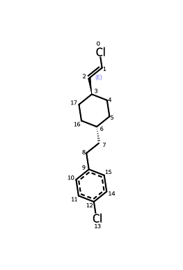 Cl/C=C/[C@H]1CC[C@H](CCc2ccc(Cl)cc2)CC1